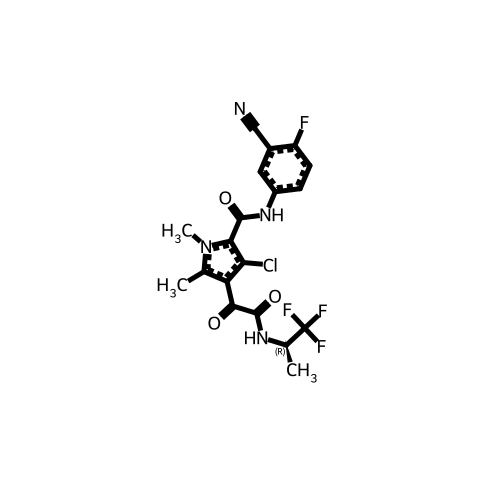 Cc1c(C(=O)C(=O)N[C@H](C)C(F)(F)F)c(Cl)c(C(=O)Nc2ccc(F)c(C#N)c2)n1C